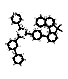 CC1(C)c2cccc(-c3ccc(-c4nc(-c5ccncc5)nc(-c5cccc(-c6ccccc6)c5)n4)cc3)c2-c2c1ccc1ccccc21